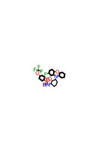 O=S(=O)(NC1CCCC(N2c3ccccc3Oc3ccc(F)cc32)C1O)c1ccc(OC(F)(F)F)cc1